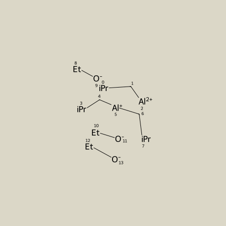 CC(C)[CH2][Al+2].CC(C)[CH2][Al+][CH2]C(C)C.CC[O-].CC[O-].CC[O-]